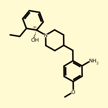 CCC1C=CC=C[C@@]1(O)N1CCC(Cc2ccc(OC)cc2N)CC1